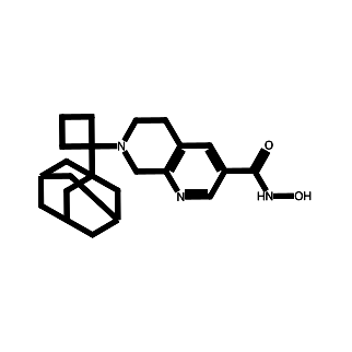 O=C(NO)c1cnc2c(c1)CCN(C1(C34CC5CC(CC(C5)C3)C4)CCC1)C2